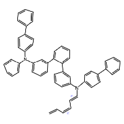 C=C/C=C\C=C\N(c1ccc(-c2ccccc2)cc1)c1cccc(-c2ccccc2-c2cccc(N(c3ccccc3)c3ccc(-c4ccccc4)cc3)c2)c1